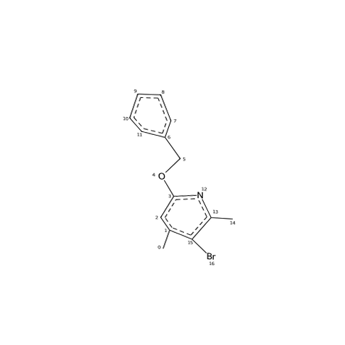 Cc1cc(OCc2ccccc2)nc(C)c1Br